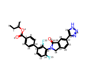 CCC(C)OC(=O)c1ccc(-c2ccc(F)c(N3Cc4ccc(-c5c[nH]nn5)cc4C3=O)c2F)cc1